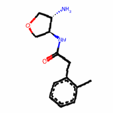 Cc1ccccc1CC(=O)N[C@H]1COC[C@@H]1N